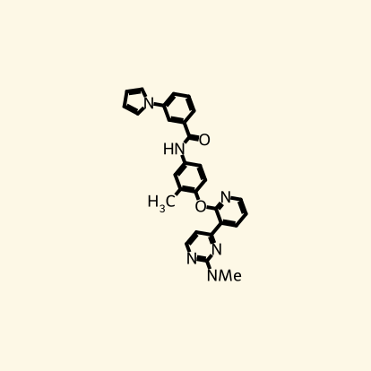 CNc1nccc(-c2cccnc2Oc2ccc(NC(=O)c3cccc(-n4cccc4)c3)cc2C)n1